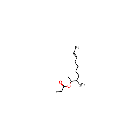 C=CC(=O)OC(C)C(CCC)CCCCC=CCC